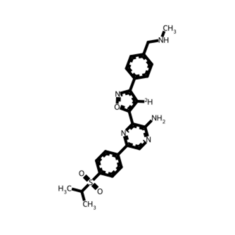 [2H]c1c(-c2ccc(CNC)cc2)noc1-c1nc(-c2ccc(S(=O)(=O)C(C)C)cc2)cnc1N